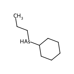 CCC[AsH]C1CCCCC1